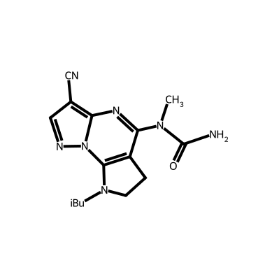 CCC(C)N1CCc2c(N(C)C(N)=O)nc3c(C#N)cnn3c21